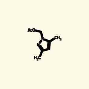 CC(=O)OCn1nc(C)cc1C